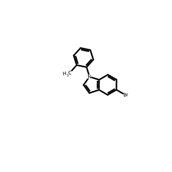 Cc1ccccc1-n1ccc2cc(Br)ccc21